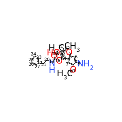 COc1cc2c(cc1N)OC(C)(C)[C@H](O)[C@H]2OC(=O)NCCc1ccccc1